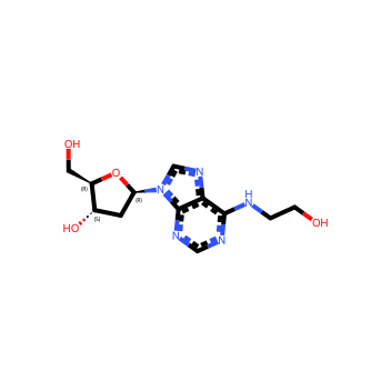 OCCNc1ncnc2c1ncn2[C@H]1C[C@H](O)[C@@H](CO)O1